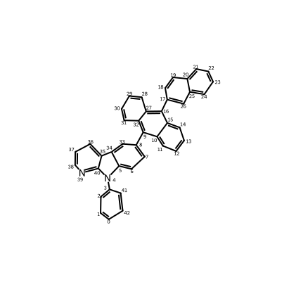 c1ccc(-n2c3ccc(-c4c5ccccc5c(-c5ccc6ccccc6c5)c5ccccc45)cc3c3cccnc32)cc1